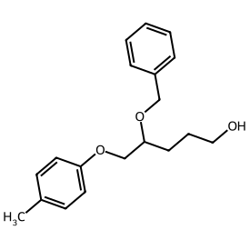 Cc1ccc(OCC(CCCO)OCc2ccccc2)cc1